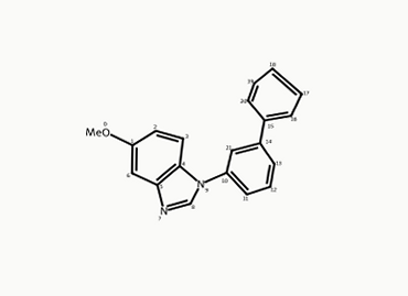 COc1ccc2c(c1)ncn2-c1cccc(-c2ccccc2)c1